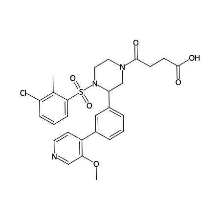 COc1cnccc1-c1cccc(C2CN(C(=O)CCC(=O)O)CCN2S(=O)(=O)c2cccc(Cl)c2C)c1